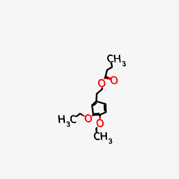 CCCC(=O)OCCc1ccc(OCC)c(OCC)c1